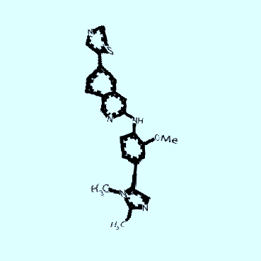 COc1cc(-c2cnc(C)n2C)ccc1Nc1cc2cc(-c3cncs3)ccc2cn1